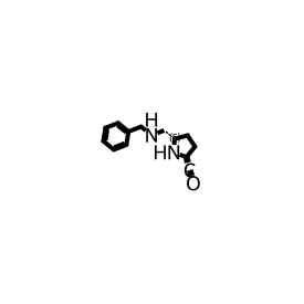 O=C=C1CC[C@@H](CNCc2ccccc2)N1